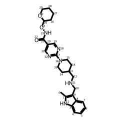 Cc1[nH]c2ccccc2c1CNCC1CCN(c2ncc(C(=O)NOC3CCCCO3)cn2)CC1